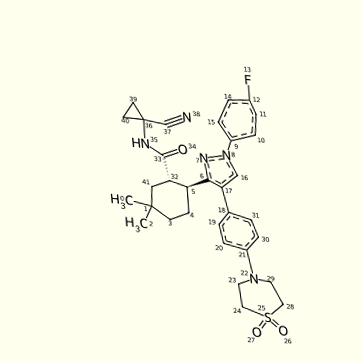 CC1(C)CC[C@H](c2nn(-c3ccc(F)cc3)cc2-c2ccc(N3CCS(=O)(=O)CC3)cc2)[C@@H](C(=O)NC2(C#N)CC2)C1